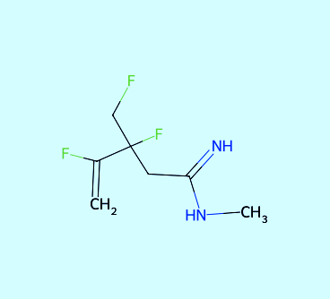 C=C(F)C(F)(CF)CC(=N)NC